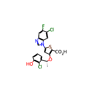 C[C@@H](Oc1cc(-n2cnc3cc(F)c(Cl)cc32)sc1C(=O)O)c1cccc(O)c1Cl